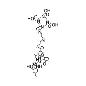 C=C1CC(CC)CCC1(NC(=O)c1cc(-c2c(OC)cccc2OC)n(-c2ccc(C(=O)N(C)CCCN(C)CCCN(C)C(=O)CN3CCN(CC(=O)O)CCN(CC(=O)O)CCN(CC(=O)O)CC3)cc2C(C)C)n1)C(=O)O